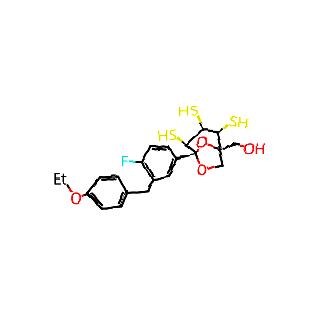 CCOc1ccc(Cc2cc([C@]34OC[C@](CO)(O3)[C@H](S)[C@H](S)[C@@H]4S)ccc2F)cc1